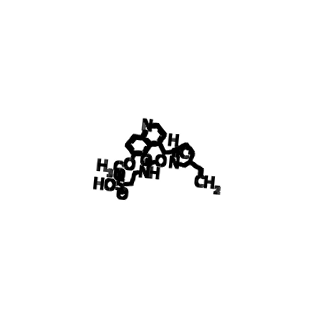 C=CC1CN2CCC1C[C@H]2[C@H](OC(=O)NCCS(=O)(=O)O)c1ccnc2ccc(OC)cc12